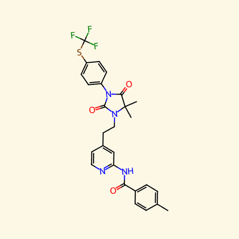 Cc1ccc(C(=O)Nc2cc(CCN3C(=O)N(c4ccc(SC(F)(F)F)cc4)C(=O)C3(C)C)ccn2)cc1